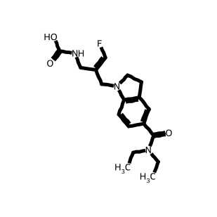 CCN(CC)C(=O)c1ccc2c(c1)CCN2CC(=CF)CNC(=O)O